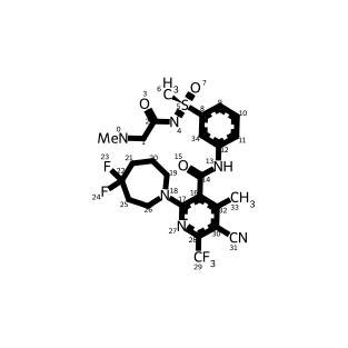 CNCC(=O)N=[S@](C)(=O)c1cccc(NC(=O)c2c(N3CCCC(F)(F)CC3)nc(C(F)(F)F)c(C#N)c2C)c1